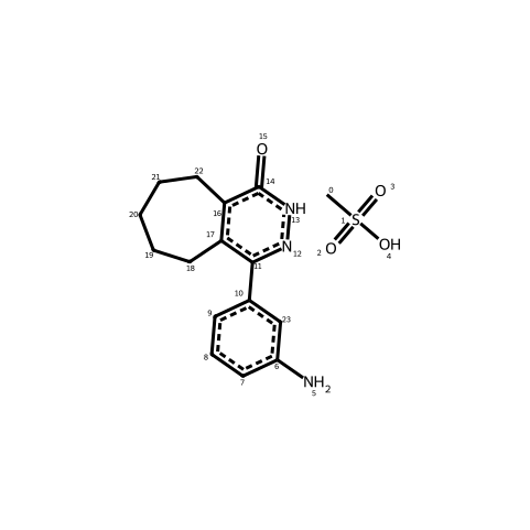 CS(=O)(=O)O.Nc1cccc(-c2n[nH]c(=O)c3c2CCCCC3)c1